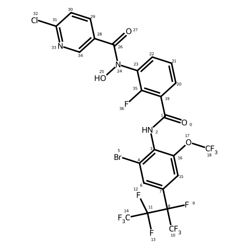 O=C(Nc1c(Br)cc(C(F)(C(F)(F)F)C(F)(F)C(F)(F)F)cc1OC(F)(F)F)c1cccc(N(O)C(=O)c2ccc(Cl)nc2)c1F